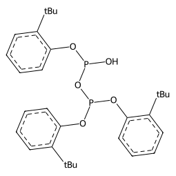 CC(C)(C)c1ccccc1OP(O)OP(Oc1ccccc1C(C)(C)C)Oc1ccccc1C(C)(C)C